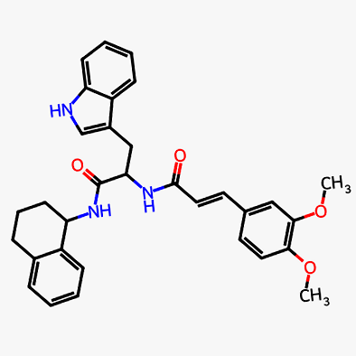 COc1ccc(/C=C/C(=O)NC(Cc2c[nH]c3ccccc23)C(=O)NC2CCCc3ccccc32)cc1OC